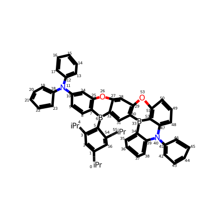 CC(C)c1cc(C(C)C)c(B2c3ccc(N(c4ccccc4)c4ccccc4)cc3Oc3cc4c(cc32)B2c3ccccc3N(c3ccccc3)c3cccc(c32)O4)c(C(C)C)c1